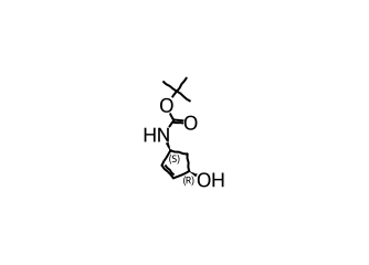 CC(C)(C)OC(=O)N[C@@H]1C=C[C@H](O)C1